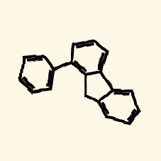 [c]1cccc(-c2cccc3c2Cc2ccccc2-3)c1